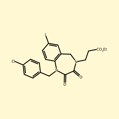 CCOC(=O)CCN1Cc2cc(I)ccc2N(Cc2ccc(Cl)cc2)C(=O)C1=O